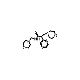 S=C(NCN1CCOCC1)C(CN1CCOCC1)c1cnccn1